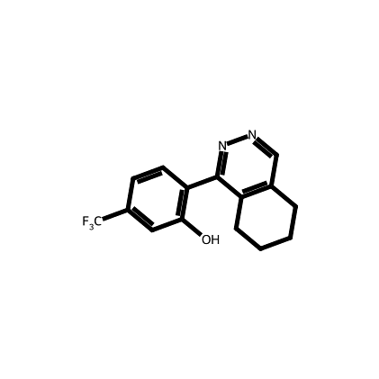 Oc1cc(C(F)(F)F)ccc1-c1nncc2c1CCCC2